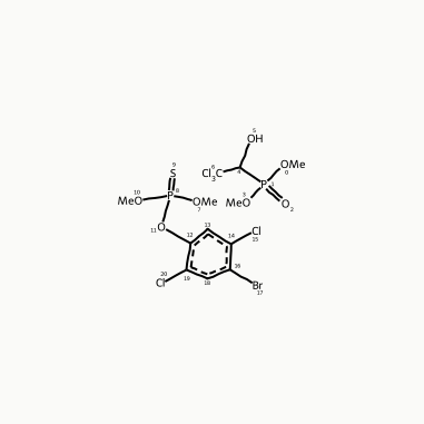 COP(=O)(OC)C(O)C(Cl)(Cl)Cl.COP(=S)(OC)Oc1cc(Cl)c(Br)cc1Cl